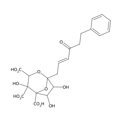 O=C(C=CCC12OC(C(=O)O)C(O)(C(=O)O)C(C(=O)O)(O1)C(O)C2O)CCc1ccccc1